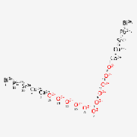 [Bi+3].[Bi+3].[Ca+2].[Ca+2].[Cu+2].[Cu+2].[O-2].[O-2].[O-2].[O-2].[O-2].[O-2].[O-2].[O-2].[O-2].[O-2].[O-2].[Pb+2].[Pb+2].[Sr+2].[Sr+2]